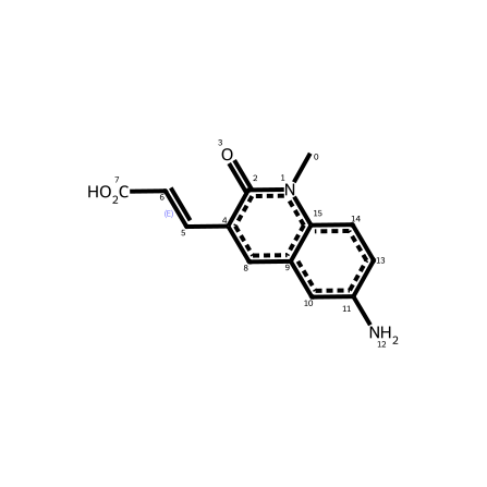 Cn1c(=O)c(/C=C/C(=O)O)cc2cc(N)ccc21